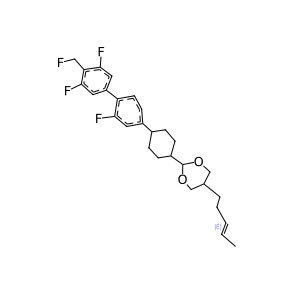 C/C=C/CCC1COC(C2CCC(c3ccc(-c4cc(F)c(CF)c(F)c4)c(F)c3)CC2)OC1